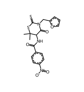 CC1(C)SC(=S)N(Cc2ccco2)C(=O)C1NC(=O)c1ccc([N+](=O)[O-])cc1